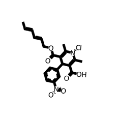 CC=CC=CCOC(=O)C1=C(C)N(Cl)C(C)=C(C(=O)O)C1c1cccc([N+](=O)[O-])c1